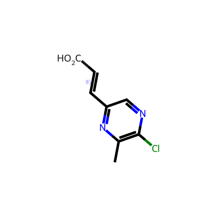 Cc1nc(/C=C/C(=O)O)cnc1Cl